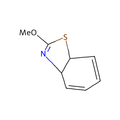 COC1=NC2C=CC=CC2S1